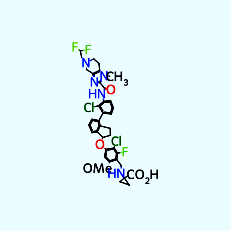 COc1cc(OC2CCc3c(-c4cccc(NC(=O)c5nc6c(n5C)CCN(CC(F)F)C6)c4Cl)cccc32)c(Cl)c(F)c1CNC1(C(=O)O)CC1